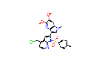 COc1cc2c(nc1OC)c(-c1cc3c(CCl)ccnc3n1S(=O)(=O)c1ccc(C)cc1)cn2C